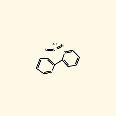 [N-]=[N+]=[N-].[Zn].c1ccc(-c2ccccn2)nc1